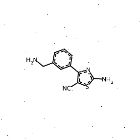 N#Cc1sc(N)nc1-c1cccc(CN)c1